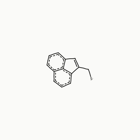 [S]CC1=Cc2cccc3cccc1c23